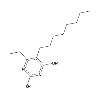 CCCCCCCCc1c(O)nc(S)nc1CC